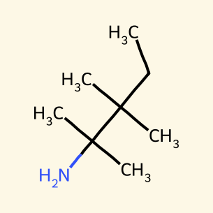 CCC(C)(C)C(C)(C)N